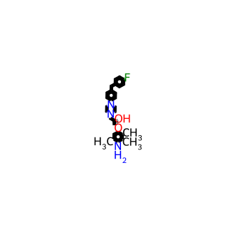 Cc1cc(OC[C@@H](O)CN2CCN(c3ccc(Cc4ccc(F)cc4)cc3)CC2)c(C)c(C)c1N